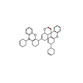 C1=CCC(C2C=CC3=C(C2)Oc2ccccc2C32C3=CCCC=C3OC3C=C(C4CCCC5=C4Oc4ccccc4N5C4CC=CCC4)CCC32)CC1